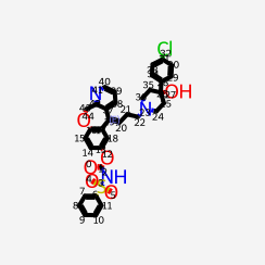 O=C(NS(=O)(=O)c1ccccc1)Oc1ccc2c(c1)/C(=C/CCN1CCC(O)(c3ccc(Cl)cc3)CC1)c1cccnc1CO2